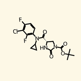 CC(C)(C)OC(=O)N1C[C@@H](C(=O)N(c2ccc(F)c(Cl)c2F)C2CC2)NC1=O